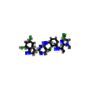 C=C(N[C@@H]1CCC[C@H](Nc2nc(-c3c[nH]c4c(F)cc(F)cc34)ncc2F)C1)c1nc(Br)cn1C